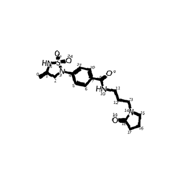 C=C1CN(c2ccc(C(=O)NCCCN3CCCC3=O)cc2)S(=O)(=O)N1